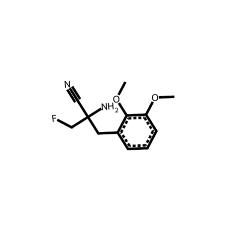 COc1cccc(CC(N)(C#N)CF)c1OC